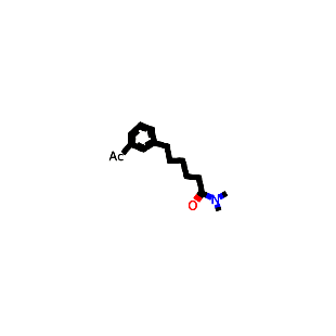 CC(=O)c1cccc(CCCCCC(=O)N(C)C)c1